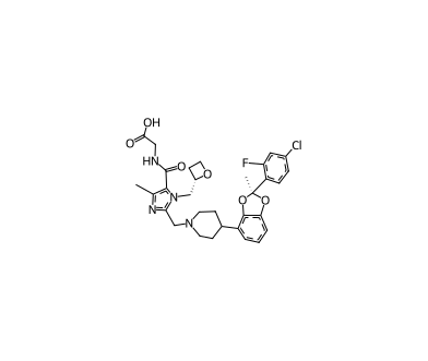 Cc1nc(CN2CCC(c3cccc4c3O[C@@](C)(c3ccc(Cl)cc3F)O4)CC2)n(C[C@@H]2CCO2)c1C(=O)NCC(=O)O